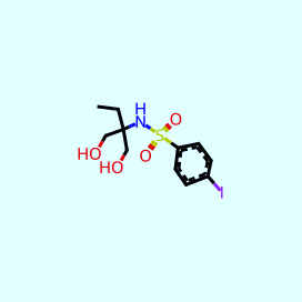 CCC(CO)(CO)NS(=O)(=O)c1ccc(I)cc1